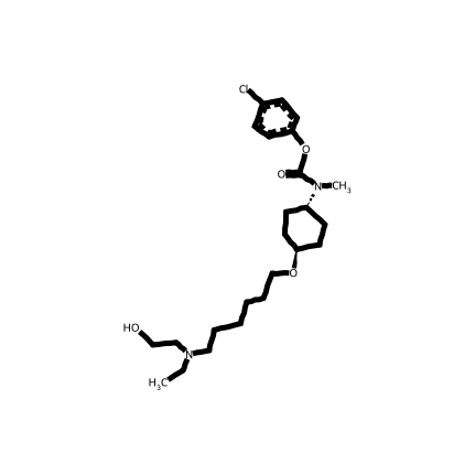 CCN(CCO)CCCCCCO[C@H]1CC[C@H](N(C)C(=O)Oc2ccc(Cl)cc2)CC1